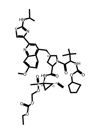 C=C[C@@H]1C[C@]1(NC(=O)C1C[C@@H](Cc2cc(-c3csc(NC(C)C)n3)nc3cc(OC)ccc23)CN1C(=O)C(NC(=O)OC1CCCC1)C(C)(C)C)P(C)(=O)OCOC(=O)OCC